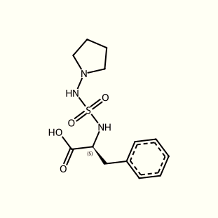 O=C(O)[C@H](Cc1ccccc1)NS(=O)(=O)NN1CCCC1